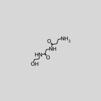 NCCC(=O)NCC(=O)NCCO